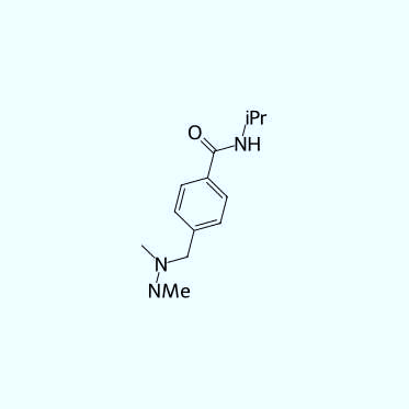 CNN(C)Cc1ccc(C(=O)NC(C)C)cc1